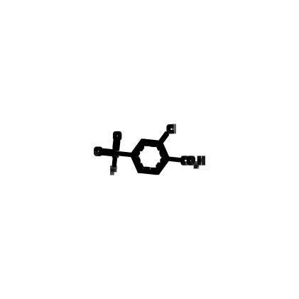 O=C(O)c1ccc(S(=O)(=O)F)cc1Cl